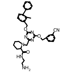 Cc1c(COc2nc(CN3CCCCC3C(=O)NCCN)nc(OCc3cccc(C#N)c3)n2)cccc1-c1ccccc1